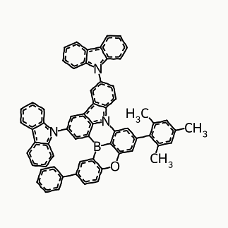 Cc1cc(C)c(-c2cc3c4c(c2)-n2c5ccc(-n6c7ccccc7c7ccccc76)cc5c5cc(-n6c7ccccc7c7ccccc76)cc(c52)B4c2cc(-c4ccccc4)ccc2O3)c(C)c1